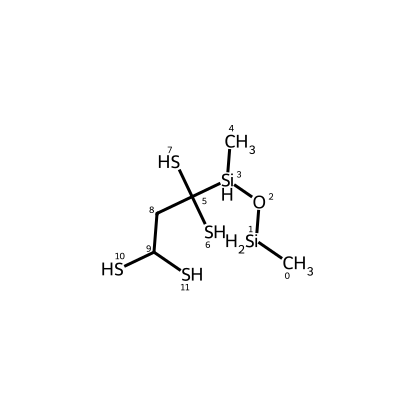 C[SiH2]O[SiH](C)C(S)(S)CC(S)S